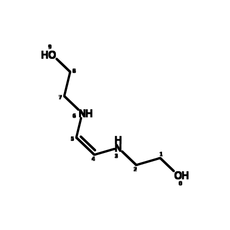 OCCN/C=C\NCCO